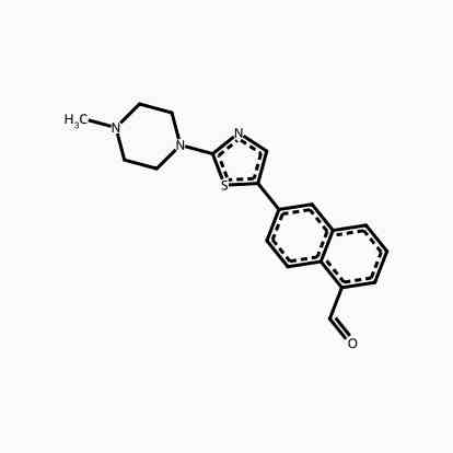 CN1CCN(c2ncc(-c3ccc4c(C=O)cccc4c3)s2)CC1